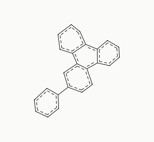 c1ccc(-c2ccc3c4ccccc4c4ccccc4c3c2)cc1